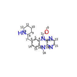 COCN1c2cc(CC3CCCCN3)ccc2N(C)c2nccnc21